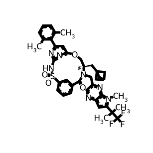 Cc1cccc(C)c1-c1cc2nc(n1)NS(=O)(=O)c1cccc(c1)C(=O)N(Cc1cnc3cc(C(C)(C)C(F)(F)F)n(C)c3n1)[C@H](CC13CC(C1)C3)CO2